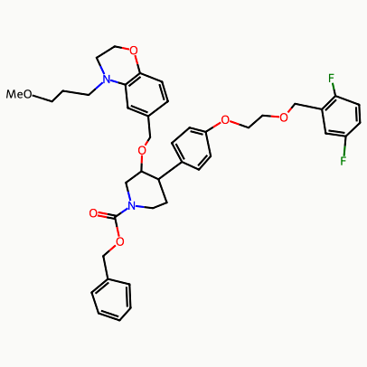 COCCCN1CCOc2ccc(COC3CN(C(=O)OCc4ccccc4)CCC3c3ccc(OCCOCc4cc(F)ccc4F)cc3)cc21